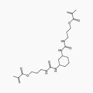 C=C(C)C(=O)OCCCNC(=O)NC1CCCC(NC(=O)NCCCOC(=O)C(=C)C)C1